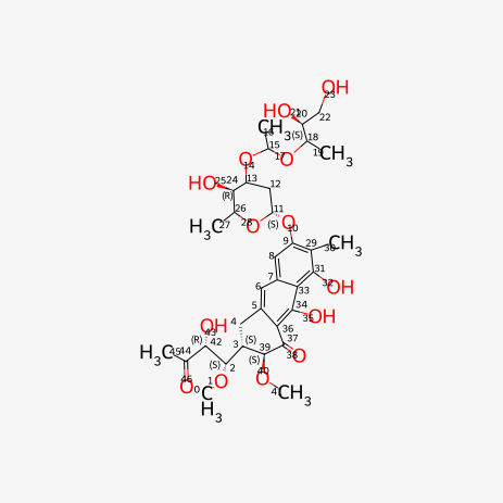 CO[C@@H]([C@@H]1Cc2cc3cc(O[C@H]4CC(OC(C)OC(C)[C@@H](O)CO)[C@H](O)C(C)O4)c(C)c(O)c3c(O)c2C(=O)[C@H]1OC)[C@@H](O)C(C)=O